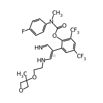 CN(C(=O)Oc1c(/C(C=N)=C/NCCOC2(C)COC2)cc(C(F)(F)F)cc1C(F)(F)F)c1ccc(F)cc1